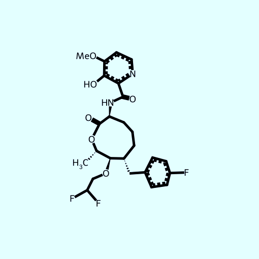 COc1ccnc(C(=O)N[C@H]2CCC[C@H](Cc3ccc(F)cc3)[C@@H](OCC(F)F)[C@H](C)OC2=O)c1O